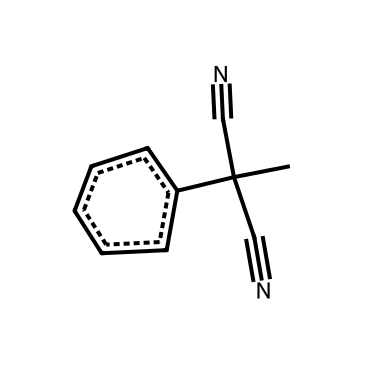 CC(C#N)(C#N)c1ccccc1